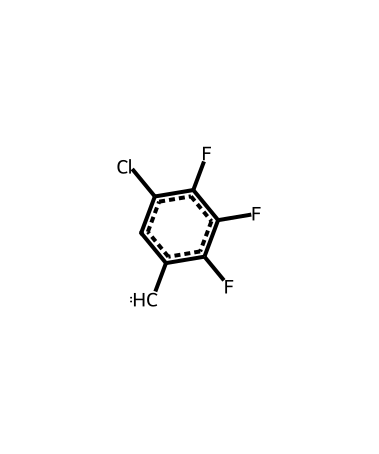 [CH]c1cc(Cl)c(F)c(F)c1F